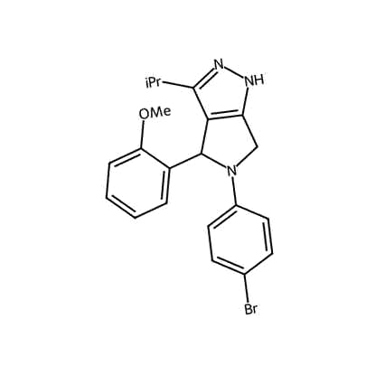 COc1ccccc1C1c2c(C(C)C)n[nH]c2CN1c1ccc(Br)cc1